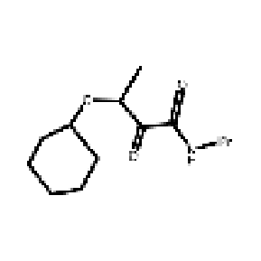 CC(C)NC(=O)C(=O)C(C)OC1CCCCC1